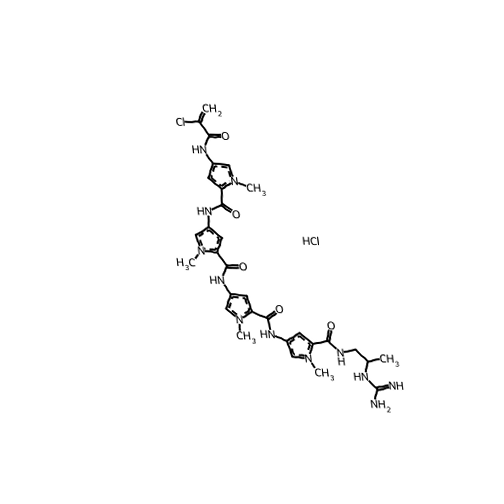 C=C(Cl)C(=O)Nc1cc(C(=O)Nc2cc(C(=O)Nc3cc(C(=O)Nc4cc(C(=O)NCC(C)NC(=N)N)n(C)c4)n(C)c3)n(C)c2)n(C)c1.Cl